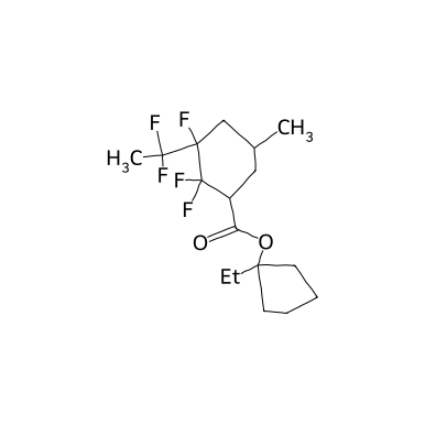 CCC1(OC(=O)C2CC(C)CC(F)(C(C)(F)F)C2(F)F)CCCC1